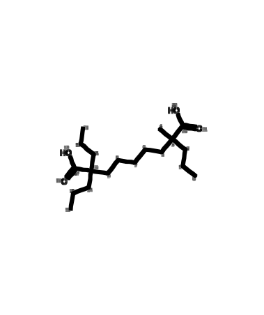 CCCC(C)(CCCCCC(CCC)(CCC)C(=O)O)C(=O)O